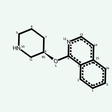 c1ccc2c(O[C@@H]3CCCNC3)nccc2c1